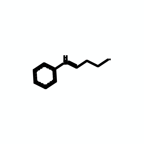 [CH2]CCC=[SiH]c1ccccc1